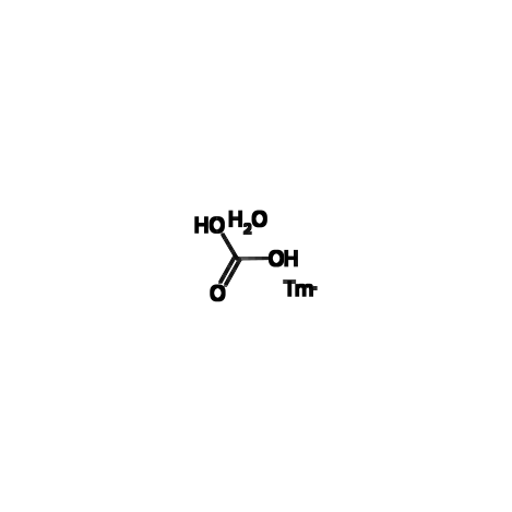 O.O=C(O)O.[Tm]